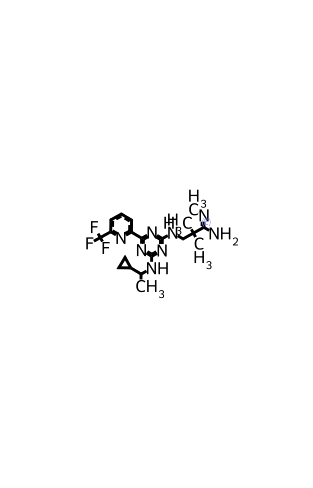 C/N=C(/N)C(C)(C)CNc1nc(NC(C)C2CC2)nc(-c2cccc(C(F)(F)F)n2)n1